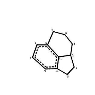 [C]1CC2CCCc3cccc1c32